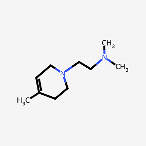 CC1=CCN(CCN(C)C)CC1